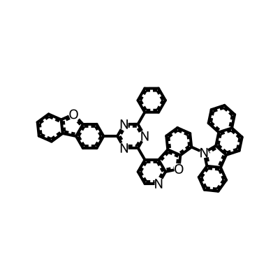 c1ccc(-c2nc(-c3ccc4c(c3)oc3ccccc34)nc(-c3ccnc4oc5c(-n6c7ccccc7c7ccc8ccccc8c76)cccc5c34)n2)cc1